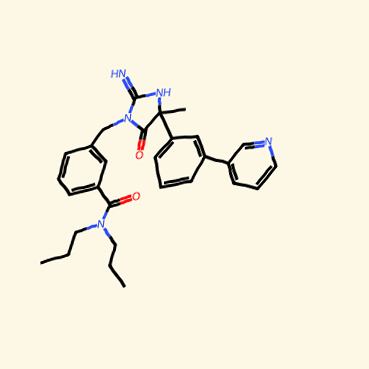 CCCN(CCC)C(=O)c1cccc(CN2C(=N)NC(C)(c3cccc(-c4cccnc4)c3)C2=O)c1